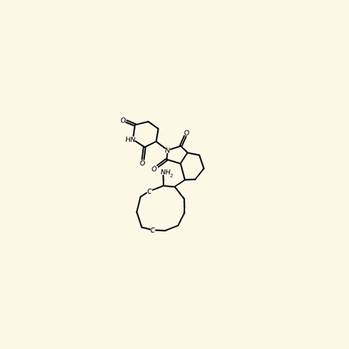 NC1CCCCCCCCCC1C1CCCC2C(=O)N(C3CCC(=O)NC3=O)C(=O)C21